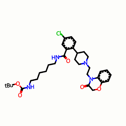 CC(C)(C)OC(=O)NCCCCCCNC(=O)c1cc(Cl)ccc1C1CCN(CCN2C(=O)COc3ccccc32)CC1